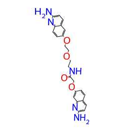 Nc1ccc2cc(OCCOCCNC(=O)COc3ccc4ccc(N)nc4c3)ccc2n1